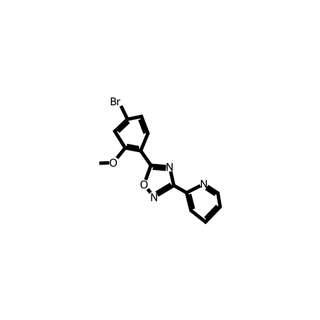 COc1cc(Br)ccc1-c1nc(-c2ccccn2)no1